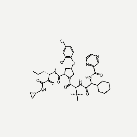 CCC[C@H](NC(=O)C1C[C@@H](Oc2ccc(Cl)cc2Cl)CN1C(=O)[C@@H](NC(=O)[C@@H](NC(=O)c1cnccn1)C1CCCCC1)C(C)(C)C)C(=O)C(=O)NC1CC1